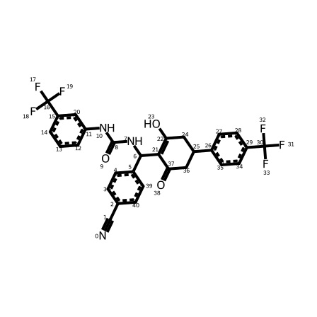 N#Cc1ccc(C(NC(=O)Nc2cccc(C(F)(F)F)c2)C2=C(O)CC(c3ccc(C(F)(F)F)cc3)CC2=O)cc1